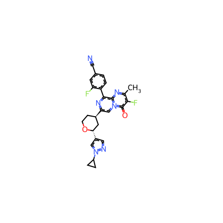 Cc1nc2c(-c3ccc(C#N)cc3F)nc([C@@H]3CCO[C@@H](c4cnn(C5CC5)c4)C3)cn2c(=O)c1F